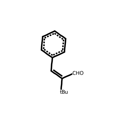 CC(C)(C)/C(C=O)=C/c1ccccc1